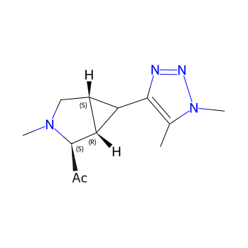 CC(=O)[C@@H]1[C@H]2C(c3nnn(C)c3C)[C@H]2CN1C